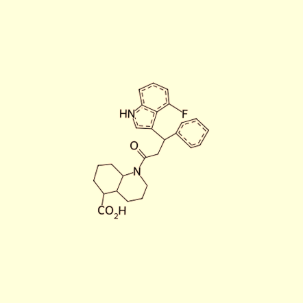 O=C(O)C1CCCC2C1CCCN2C(=O)CC(c1ccccc1)c1c[nH]c2cccc(F)c12